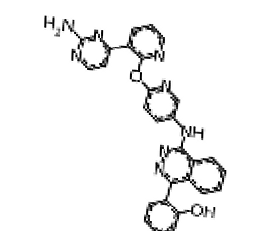 Nc1nccc(-c2cccnc2Oc2ccc(Nc3nnc(-c4ccccc4O)c4ccccc34)cn2)n1